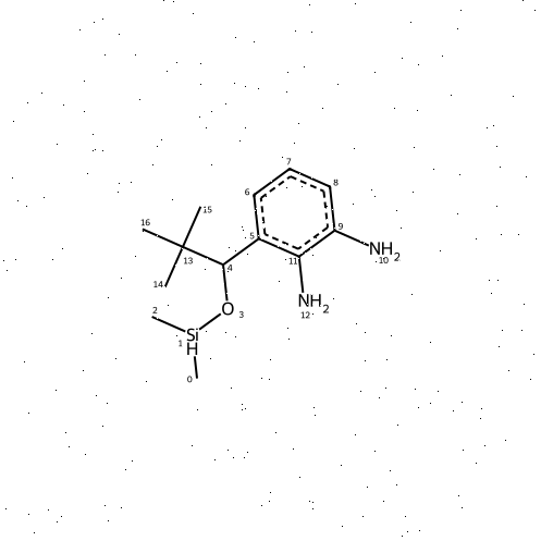 C[SiH](C)OC(c1cccc(N)c1N)C(C)(C)C